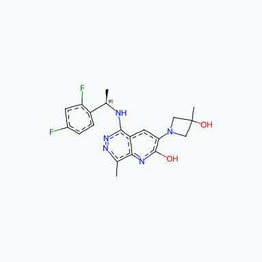 Cc1nnc(N[C@H](C)c2ccc(F)cc2F)c2cc(N3CC(C)(O)C3)c(O)nc12